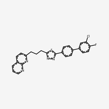 Fc1ccc(-c2ccc(-c3nnc(CCCc4ccc5cccnc5n4)s3)cc2)cc1Cl